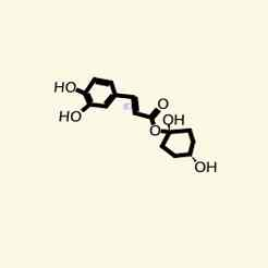 O=C(/C=C/c1ccc(O)c(O)c1)O[C@]1(O)CC[C@@H](O)CC1